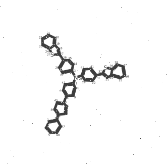 c1ccc(-c2ccc(-c3ccc(N(c4ccc(-c5cc6ccccc6s5)cc4)c4ccc(-c5cc6ccccc6s5)cc4)cc3)cc2)cc1